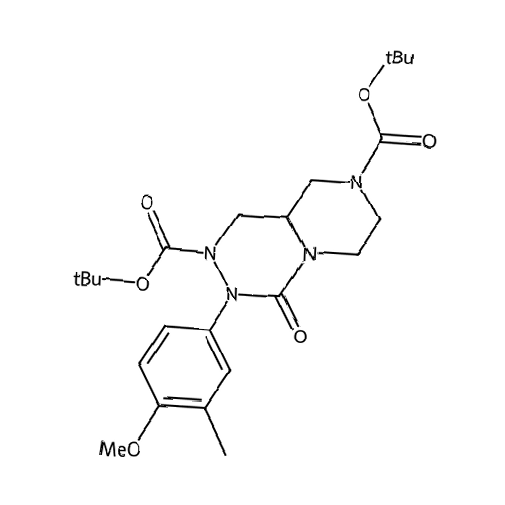 COc1ccc(N2C(=O)N3CCN(C(=O)OC(C)(C)C)CC3CN2C(=O)OC(C)(C)C)cc1C